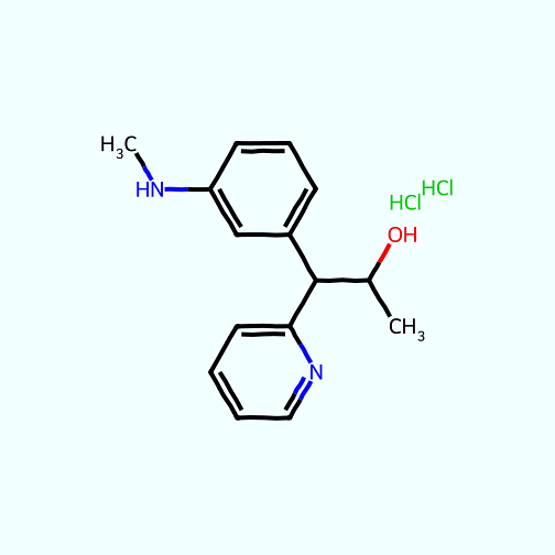 CNc1cccc(C(c2ccccn2)C(C)O)c1.Cl.Cl